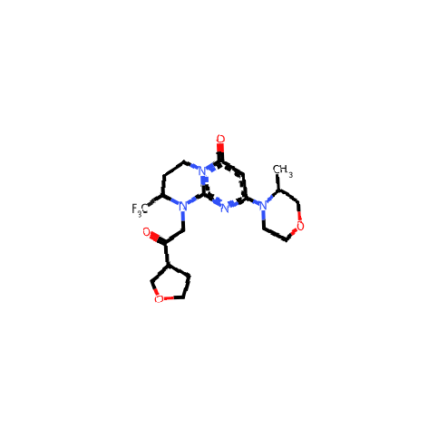 CC1COCCN1c1cc(=O)n2c(n1)N(CC(=O)C1CCOC1)C(C(F)(F)F)CC2